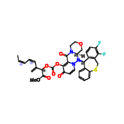 C=C(/C=C\C=C/C)[C@@H](OC(=O)Oc1c2n(ccc1=O)N([C@@H]1c3ccccc3SCc3c1ccc(F)c3F)[C@@H]1COCCN1C2=O)C(=O)OC